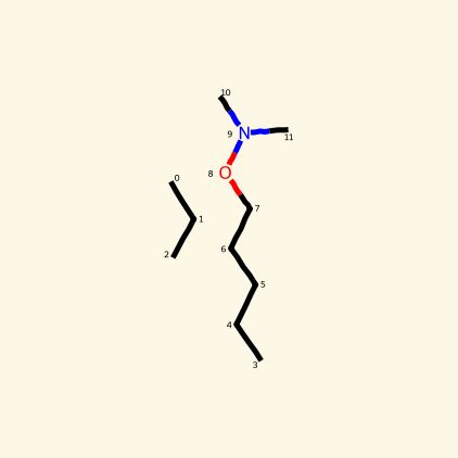 CCC.CCCCCON(C)C